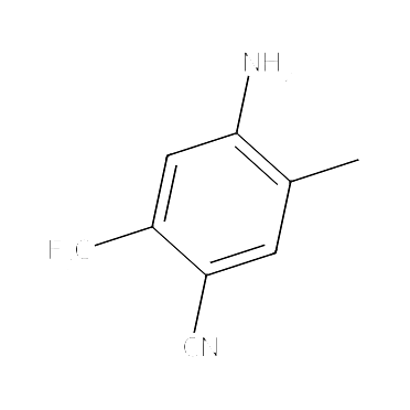 Cc1cc(C#N)c(C(F)(F)F)cc1N